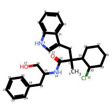 CC(Cc1c[nH]c2ccccc12)(C(=O)NC(CO)Cc1ccccc1)C1CCCCC1Cl